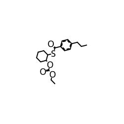 CCCc1ccc(C(=O)SC2CCCCC2OC(=O)OCC)cc1